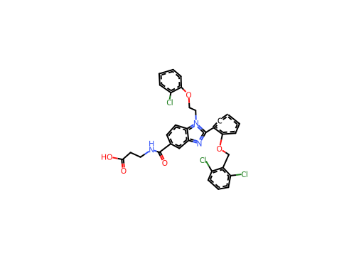 O=C(O)CCNC(=O)c1ccc2c(c1)nc(-c1ccccc1OCc1c(Cl)cccc1Cl)n2CCOc1ccccc1Cl